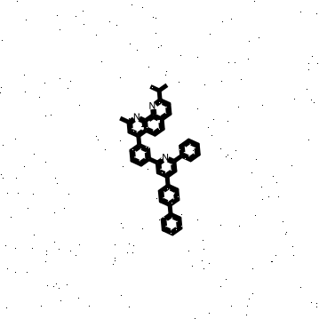 Cc1cc(-c2cccc(-c3cc(-c4ccc(-c5ccccc5)cc4)cc(-c4ccccc4)n3)c2)c2ccc3ccc(C(C)C)nc3c2n1